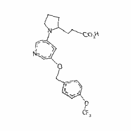 O=C(O)CCC1CCCN1c1cncc(OCc2ccc(OC(F)(F)F)cc2)c1